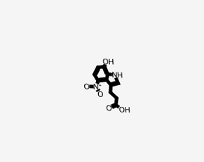 O=C(O)CCc1c[nH]c2c(O)ccc([N+](=O)[O-])c12